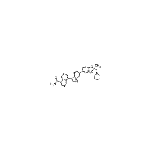 CC(C)(CN1CCCCC1)Oc1ccc(-c2cnc3c(-c4cccc5c(C(N)=O)cccc45)cnn3c2)cc1